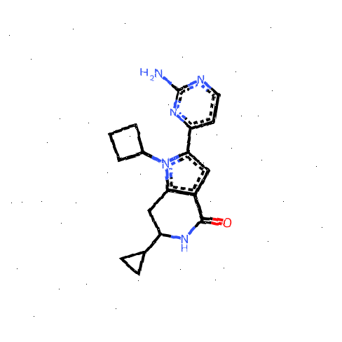 Nc1nccc(-c2cc3c(n2C2CCC2)CC(C2CC2)NC3=O)n1